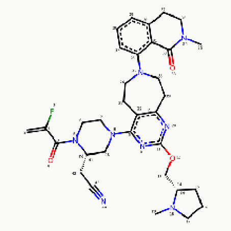 C=C(F)C(=O)N1CCN(c2nc(OC[C@@H]3CCCN3C)nc3c2CCN(c2cccc4c2C(=O)N(C)CC4)CC3)C[C@@H]1CC#N